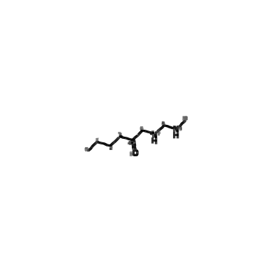 CCCCC(=O)CNCNC